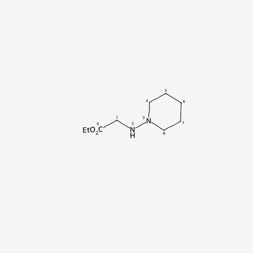 CCOC(=O)CNN1CCCCC1